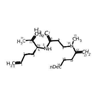 C=CCC[C@H](NC(=C)CCN(C)C(=C)CCCCCCCCCCCC)C(=C)C